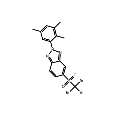 Cc1cc(C)c(C)c(-n2nc3ccc(S(=O)(=O)C(Br)(Br)Br)cc3n2)c1